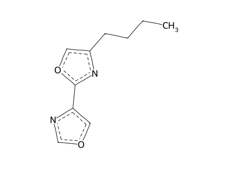 CCCCc1coc(-c2cocn2)n1